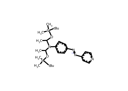 CC(O[Si](C)(C)C(C)(C)C)N(c1ccc(/N=N/c2ccncc2)cc1)C(C)O[Si](C)(C)C(C)(C)C